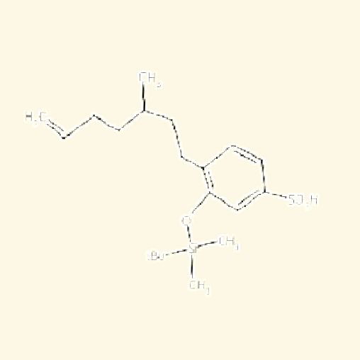 C=CCCC(C)CCc1ccc(S(=O)(=O)O)cc1O[Si](C)(C)C(C)(C)C